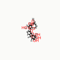 CCC1CCC[C@@H](O[C@@H]2OC(CO)[C@H](O)C3O[C@@H](COC)CCCOC32)[C@@H]1O[C@@H]1OC(C)[C@@H](O)C(O)[C@@H]1O